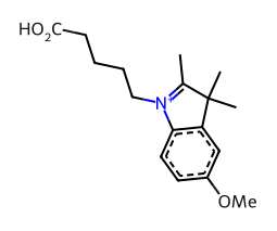 COc1ccc2c(c1)C(C)(C)C(C)=[N+]2CCCCC(=O)O